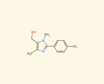 Cc1nc(-c2ccc(C(F)(F)F)cc2)n(C)c1CO